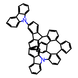 c1ccc2c(c1)-c1cccc(C3c4ccccc4-c4cc(-n5c6ccccc6c6ccccc65)ccc43)c1-c1ccccc1-c1c-2cccc1-n1c2ccccc2c2ccccc21